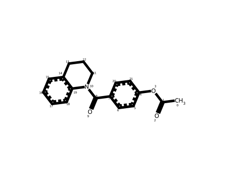 CC(=O)Oc1ccc(C(=O)N2CCCc3ccccc32)cc1